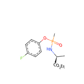 CCOC(=O)[C@H](C)NP(C)(=O)Oc1ccc(F)cc1